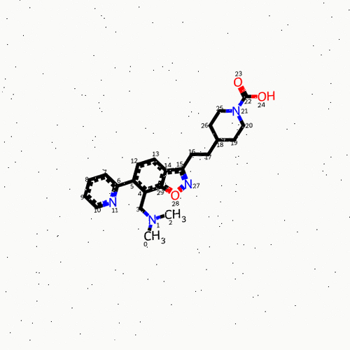 CN(C)Cc1c(-c2ccccn2)ccc2c(CCC3CCN(C(=O)O)CC3)noc12